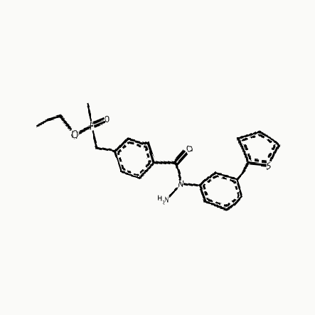 CCOP(C)(=O)Cc1ccc(C(=O)N(N)c2cccc(-c3cccs3)c2)cc1